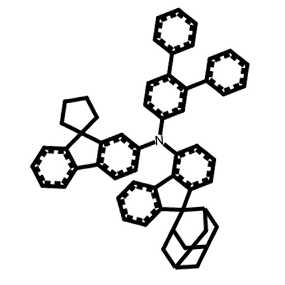 c1ccc(-c2ccc(N(c3ccc4c(c3)C3(CCCC3)c3ccccc3-4)c3cccc4c3-c3ccccc3C43C4CC5CC(C4)CC3C5)cc2-c2ccccc2)cc1